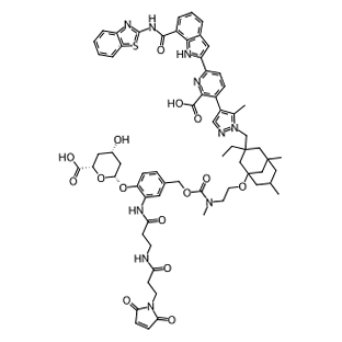 CCC1(Cn2ncc(-c3ccc(-c4cc5cccc(C(=O)Nc6nc7ccccc7s6)c5[nH]4)nc3C(=O)O)c2C)CC2(C)CC(C)CC(OCCN(C)C(=O)OCc3ccc(O[C@H]4C[C@@H](O)C[C@@H](C(=O)O)O4)c(NC(=O)CCNC(=O)CCN4C(=O)C=CC4=O)c3)(C2)C1